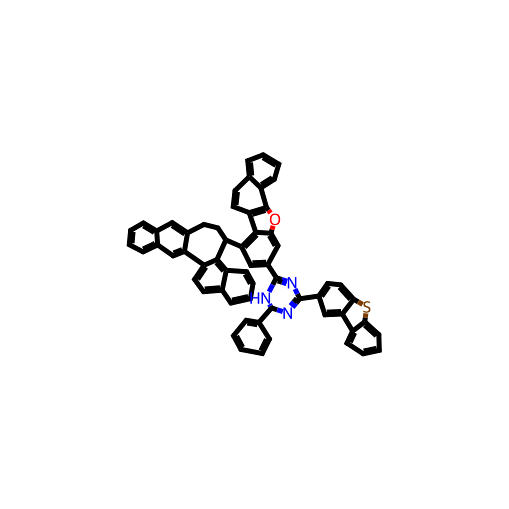 c1ccc(C2N=C(c3ccc4sc5ccccc5c4c3)N=C(c3cc(C4CCc5cc6ccccc6cc5-c5ccc6ccccc6c54)c4c(c3)oc3c5ccccc5ccc34)N2)cc1